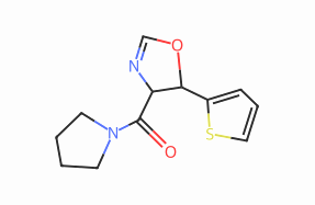 O=C(C1N=COC1c1cccs1)N1CCCC1